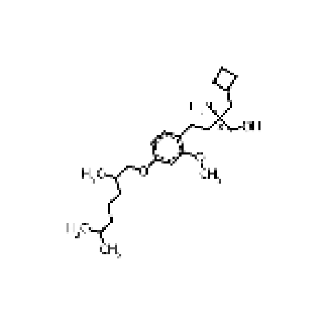 COc1cc(OCC(C)CCCC(C)C)ccc1CC[C@@](N)(CO)CC1CCC1